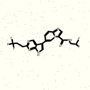 O=C(NCC(F)F)c1cnc2ccc(-c3c[nH]c4nc(CCC(F)(F)F)ncc34)cn12